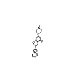 CN1CCN(c2cc(F)c3c(c2)OCC(c2cn4cccnc4n2)=C3)CC1